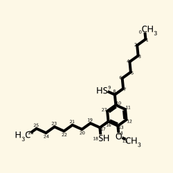 CCCCCCCCC(S)c1ccc(OC)c(C(S)CCCCCCCC)c1